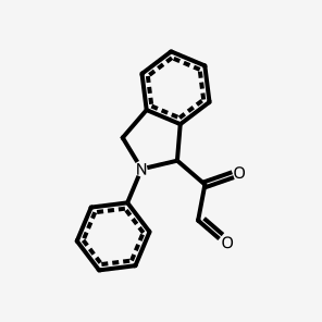 O=CC(=O)C1c2ccccc2CN1c1ccccc1